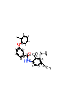 Cc1ccccc1Oc1cccc(C(=O)Nc2ccc(C#N)cc2C(=O)O)c1